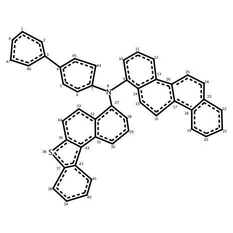 c1ccc(-c2ccc(N(c3cccc4c3ccc3c5ccccc5ccc43)c3cccc4c3ccc3sc5ccccc5c34)cc2)cc1